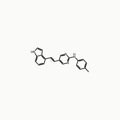 Cc1ccc(Nc2ncc(/C=C/c3cccc4[nH]ccc34)cn2)cc1